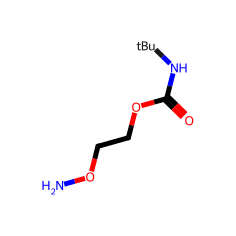 CC(C)(C)NC(=O)OCCON